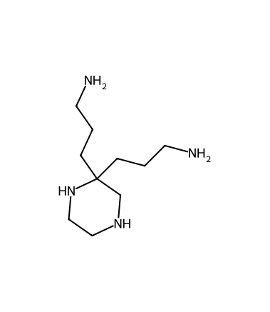 NCCCC1(CCCN)CNCCN1